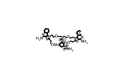 COCCc1nc2c(N)nc3ccccc3c2n1CCOCCN(CCOCCn1c(CCOC)nc2c(N)nc3ccccc3c21)S(=O)(=O)c1cccc(S(N)(=O)=O)c1